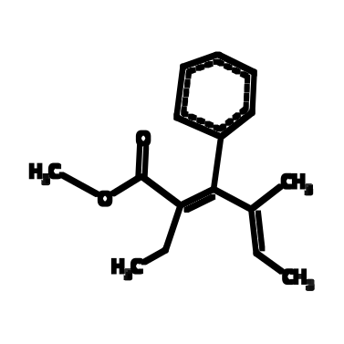 C/C=C(C)/C(=C(\CC)C(=O)OC)c1ccccc1